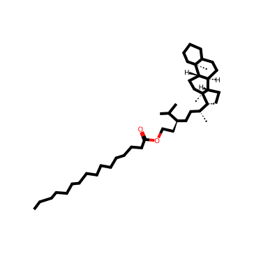 CCCCCCCCCCCCCCCC(=O)OCC[C@H](CC[C@@H](C)[C@H]1CC[C@H]2[C@@H]3CCC4CCCC[C@]4(C)[C@H]3CC[C@]12C)C(C)C